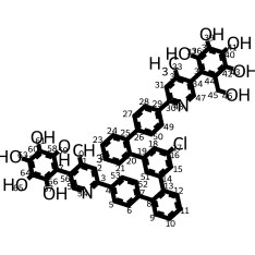 Cc1cc(-c2ccc(-c3ccccc3-c3cc(Cl)cc(-c4ccccc4-c4ccc(-c5cc(C)c(-c6c(O)c(O)c(O)c(O)c6CO)cn5)cc4)c3)cc2)ncc1-c1c(O)c(O)c(O)c(O)c1O